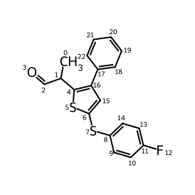 CC(C=O)c1sc(Sc2ccc(F)cc2)cc1-c1ccccc1